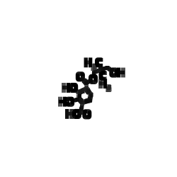 CC(C)(CO)COC(=O)c1ccc(C(=O)O)c(O)c1O